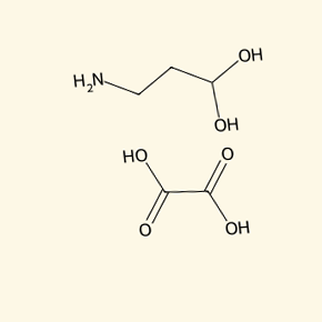 NCCC(O)O.O=C(O)C(=O)O